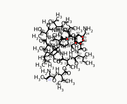 C/C=C(\N)C(=O)NC(C(=O)OC(C)C(NC(=O)[C@H](NC(=O)[C@H](CCCN)NC(=O)[C@@H]1CCCN1C(=O)C(NC(=O)C(NC(=O)C(NC(=O)C(NC(=O)CCCC(C)C)C(C)C)C(C)O)C(C)C)C(C)C)C(C)CC)C(=O)N[C@@H](C(=O)NC(C(=O)NC(C=O)c1ccccc1)C(C)C)C(C)CC)C(C)C